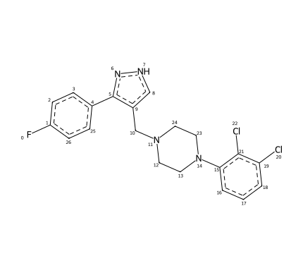 Fc1ccc(-c2n[nH]cc2CN2CCN(c3cccc(Cl)c3Cl)CC2)cc1